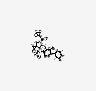 CS(=O)(=O)N[C@@H]1[C@H](Cc2cccc(-c3ccccc3)c2F)N(C(=O)[C@@H]2CCO2)CC12CC2